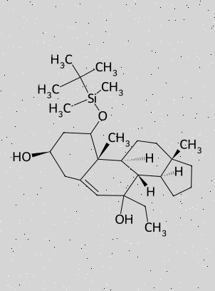 CCC1(O)C=C2C[C@@H](O)CC(O[Si](C)(C)C(C)(C)C)[C@]2(C)[C@H]2CC[C@]3(C)CCC[C@H]3[C@@H]21